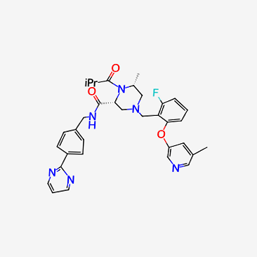 Cc1cncc(Oc2cccc(F)c2CN2C[C@@H](C)N(C(=O)C(C)C)[C@@H](C(=O)NCc3ccc(-c4ncccn4)cc3)C2)c1